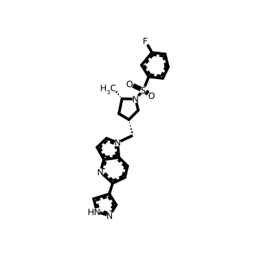 C[C@H]1C[C@@H](Cn2ccc3nc(-c4cn[nH]c4)ccc32)CN1S(=O)(=O)c1cccc(F)c1